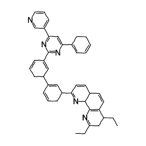 CCC1=NC2=C(C=CC3C=CC(C4C=C(C5C=C(c6nc(C7=CC=CCC7)cc(-c7cccnc7)n6)C=CC5)C=CC4)=NC23)C(CC)C1